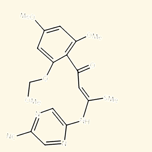 COCOc1cc(OC)cc(OC)c1C(=O)/C=C(/Nc1cnc(C#N)cn1)SC